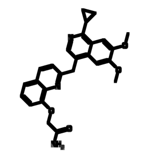 COc1cc2c(Cc3ccc4cccc(OCC(N)=O)c4n3)cnc(C3CC3)c2cc1OC